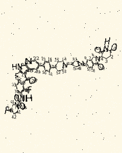 O=C1CCC(N2Cc3cc(N4CC(N5CCC(c6ccc(-c7cnc8[nH]cc(C(=O)c9c(F)ccc(NS(=O)(=O)N%10CC[C@@H](F)C%10)c9F)c8c7)cc6)CC5)C4)ccc3C2=O)C(=O)N1